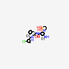 CCNc1cc(C(=O)N[C@@H](Cc2ccccc2)[C@@H](O)CNC(CC)c2cccc(Cl)c2)cc(N2CCCCS2(O)O)c1